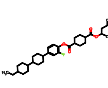 CCCC(C)OC(=O)C1CCC(C(=O)Oc2ccc(C3CCC(C4CCC(CC)CC4)CC3)cc2F)CC1